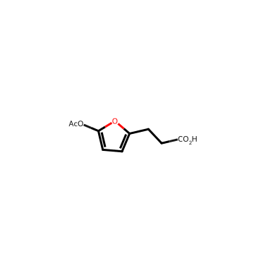 CC(=O)Oc1ccc(CCC(=O)O)o1